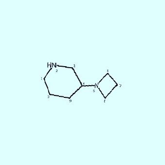 C1CNCC(N2CCC2)C1